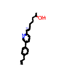 C=CCc1ccc(-c2ccc(/C=C/CCCC(C)O)nc2)cc1